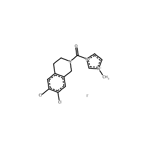 C[n+]1ccn(C(=O)N2CCc3cc(Cl)c(Cl)cc3C2)c1.[I-]